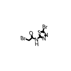 O=C(CBr)Nc1nnc(Br)s1